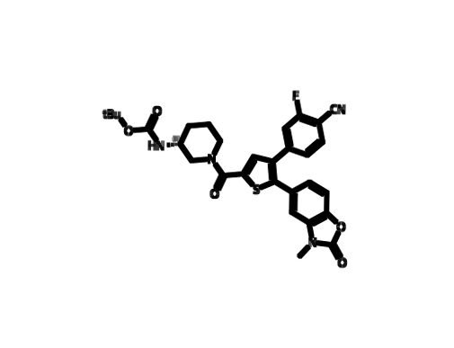 Cn1c(=O)oc2ccc(-c3sc(C(=O)N4CCC[C@@H](NC(=O)OC(C)(C)C)C4)cc3-c3ccc(C#N)c(F)c3)cc21